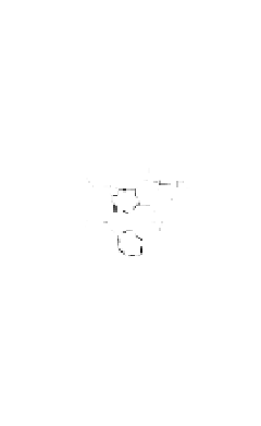 CC[Si]1(C)c2c(NC(C)(C)C)c(O[Si](C)(C)C)c3c(c21)[CH]([Zr+2])c1ccccc1-3.[Cl-].[Cl-]